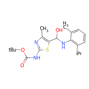 Cc1cccc(C(C)C)c1NC(O)c1sc(NC(=O)OC(C)(C)C)nc1C